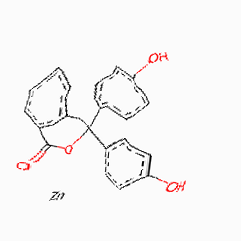 O=C1OC(c2ccc(O)cc2)(c2ccc(O)cc2)c2ccccc21.[Zn]